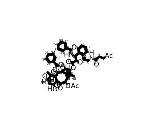 CC(=O)CCC(=O)NCC(=O)O[C@@H](C(=O)O[C@H]1C[C@@]2(O)[C@@H](OC(=O)c3ccccc3)[C@@H]3[C@]4(OC(C)=O)CO[C@@H]4C[C@H](O)[C@@]3(C)C(=O)[C@H](OC(C)=O)C(=C1C)C2(C)C)[C@@H](NC(=O)c1ccccc1)c1ccccc1